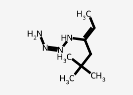 C/C=C(/CC(C)(C)C)N/N=N\N